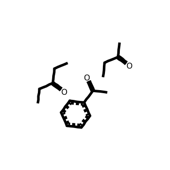 CC(=O)c1ccccc1.CCC(=O)CC.CCC(C)=O